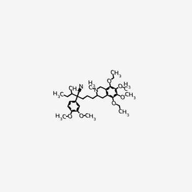 CCOc1c2c(c(OCC)c(OC)c1OC)CN(C)C(CCCC(C#N)(c1ccc(OC)c(OC)c1)C(C)CC)C2